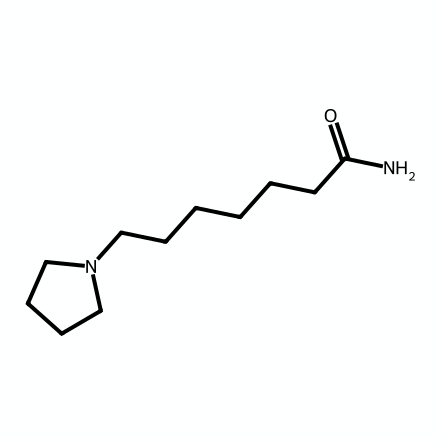 NC(=O)CCCCCCN1CCCC1